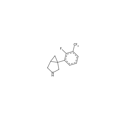 Fc1c(C(F)(F)F)cccc1C12CNCC1C2